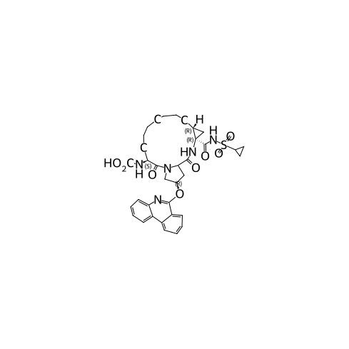 O=C(O)N[C@H]1CCCCCCC[C@@H]2C[C@@]2(C(=O)NS(=O)(=O)C2CC2)NC(=O)C2C[C@@H](Oc3nc4ccccc4c4ccccc34)CN2C1=O